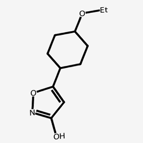 CCOC1CCC(c2cc(O)no2)CC1